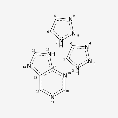 c1c[nH]nn1.c1c[nH]nn1.c1ncc2nc[nH]c2n1